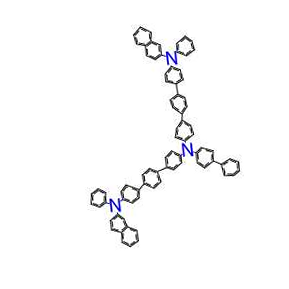 c1ccc(-c2ccc(N(c3ccc(-c4ccc(-c5ccc(N(c6ccccc6)c6ccc7ccccc7c6)cc5)cc4)cc3)c3ccc(-c4ccc(-c5ccc(N(c6ccccc6)c6ccc7ccccc7c6)cc5)cc4)cc3)cc2)cc1